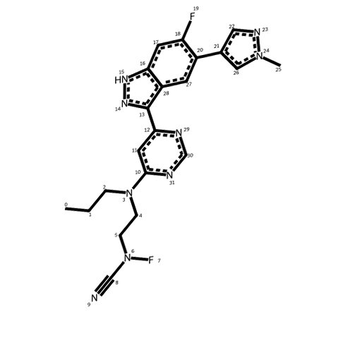 CCCN(CCN(F)C#N)c1cc(-c2n[nH]c3cc(F)c(-c4cnn(C)c4)cc23)ncn1